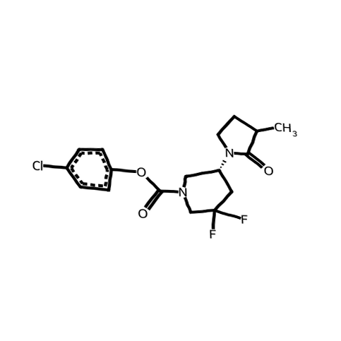 CC1CCN([C@H]2CN(C(=O)Oc3ccc(Cl)cc3)CC(F)(F)C2)C1=O